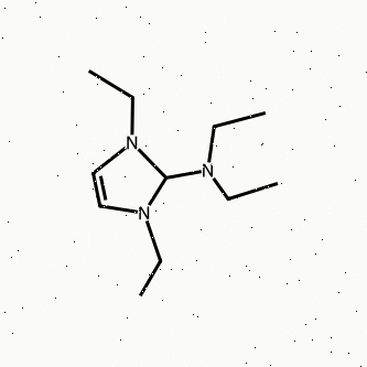 CCN1C=CN(CC)C1N(CC)CC